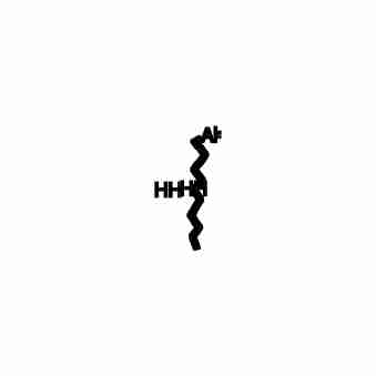 CCCCCCCCC[CH2][Al].[HH].[HH]